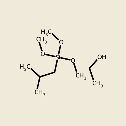 CCO.CO[Si](CC(C)C)(OC)OC